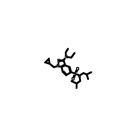 CCN(CC)c1nn(CC2CC2)c2ccc(S(=O)(=O)N(CC(C)C)CC(C)C)cc12